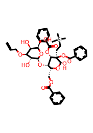 C=CCO[C@H]1[C@@H](O)[C@@H](CO)O[C@H](O[C@H]2[C@@H](COC(=O)c3ccccc3)O[C@@H](O)[C@](CC[Si](C)(C)C)(OC(=O)c3ccccc3)[C@H]2OC(=O)c2ccccc2)[C@@H]1O